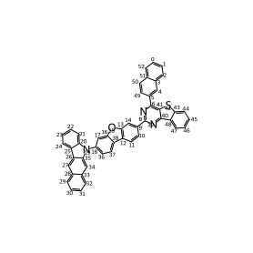 c1ccc2cc(-c3nc(-c4ccc5c(c4)oc4cc(-n6c7ccccc7c7cc8ccccc8cc76)ccc45)nc4c3sc3ccccc34)ccc2c1